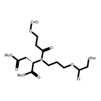 CCCCCCCCCCCC(CC)OCCCN(C(=O)CCOC=O)[C@@H](CC(=O)OCC(C)C)C(=O)OCC(C)C